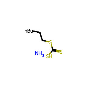 CCCCCCSC(=S)S.N